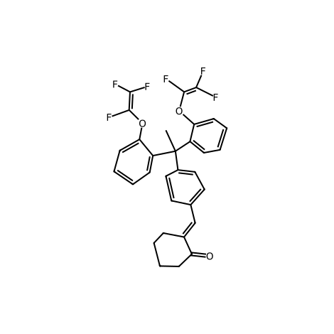 CC(c1ccc(C=C2CCCCC2=O)cc1)(c1ccccc1OC(F)=C(F)F)c1ccccc1OC(F)=C(F)F